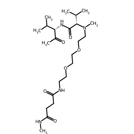 CNC(=O)CCC(=O)NCCOCCOCCN(C)[C@H](C(=O)N[C@H](C(C)=O)C(C)C)C(C)C